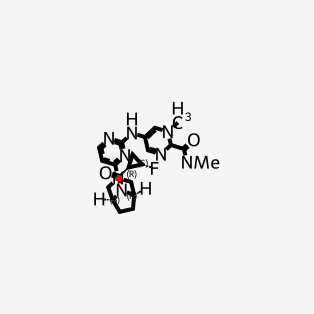 CNC(=O)C1N=CC(Nc2nccc(N3C[C@H]4CC[C@@H](C3)N4C(=O)[C@H]3C[C@@H]3F)n2)=CN1C